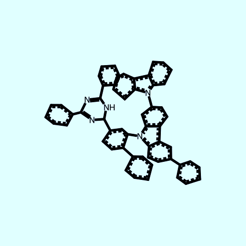 c1ccc(C2=NC(c3ccc(-c4ccccc4)c(-n4c5ccc(-c6ccccc6)cc5c5ccc(-n6c7ccccc7c7ccccc76)cc54)c3)NC(c3ccccc3)=N2)cc1